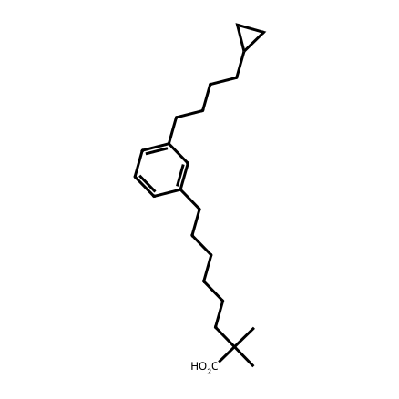 CC(C)(CCCCCCc1cccc(CCCCC2CC2)c1)C(=O)O